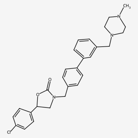 CN1CCN(Cc2cccc(-c3ccc(CN4CC(c5ccc(Cl)cc5)OC4=O)cc3)c2)CC1